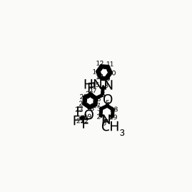 CN1CCC(OC(c2nc3ccccc3[nH]2)c2cc(OC(F)(F)F)ccc2F)CC1